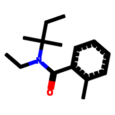 CCN(C(=O)c1ccccc1C)C(C)(C)CC